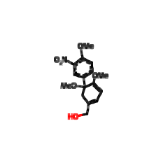 COC1=CC=C(CO)CC1(OC)c1ccc(OC)c([N+](=O)[O-])c1